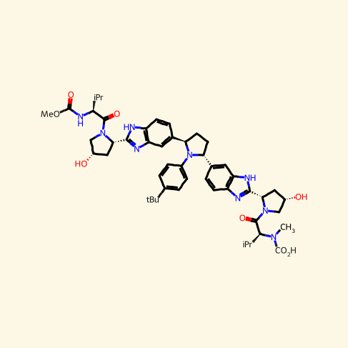 COC(=O)N[C@H](C(=O)N1C[C@@H](O)C[C@H]1c1nc2cc([C@H]3CC[C@H](c4ccc5nc([C@@H]6C[C@H](O)CN6C(=O)[C@H](C(C)C)N(C)C(=O)O)[nH]c5c4)N3c3ccc(C(C)(C)C)cc3)ccc2[nH]1)C(C)C